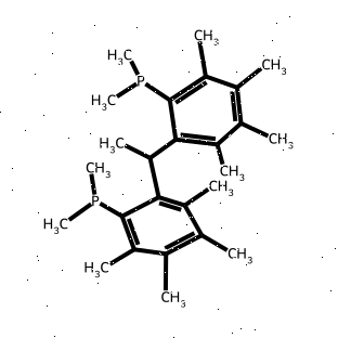 Cc1c(C)c(C)c(P(C)C)c(C(C)c2c(C)c(C)c(C)c(C)c2P(C)C)c1C